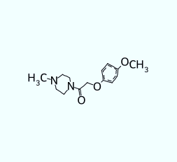 COc1ccc(OCC(=O)N2CCN(C)CC2)cc1